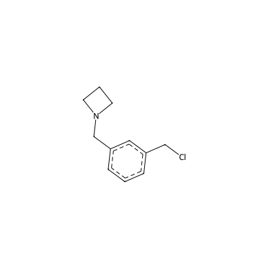 ClCc1cccc(CN2CCC2)c1